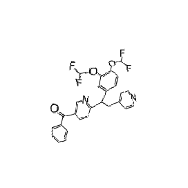 O=C(c1ccccc1)c1ccc(C(Cc2ccncc2)c2ccc(OC(F)F)c(OC(F)F)c2)nc1